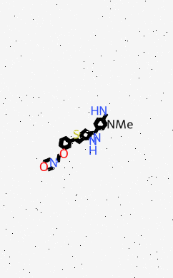 CNc1cc(-c2n[nH]c3c2Cc2sc(-c4cccc(OCCN5CCOCC5)c4)cc2-3)ccc1C=N